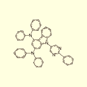 c1ccc(-c2ncc(-n3c4ccccc4c4c(N(c5ccccc5)c5ccccc5)cc(N(c5ccccc5)c5ccccc5)cc43)cn2)cc1